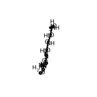 Nc1ncnc2c1c(-c1ccc(Oc3ccccc3)cc1)nn2[C@@H]1CCCN(C(=O)C=CCN2CCN(CCNC(=O)CCCCCNC(=O)CCCCCNC(=O)CCCCC3SCC4NC(=O)NC43)CC2)C1